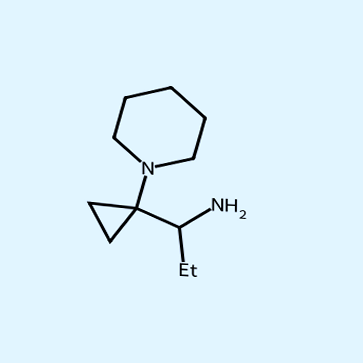 CCC(N)C1(N2CCCCC2)CC1